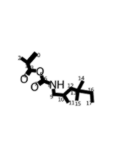 C=C(C)C(=O)OC(=O)NCC(C)CC(C)(C)CC